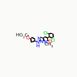 Cn1c(=O)c(-c2c(Cl)cccc2Cl)cc2cnc(Nc3ccc(OCC(=O)O)cc3)nc21